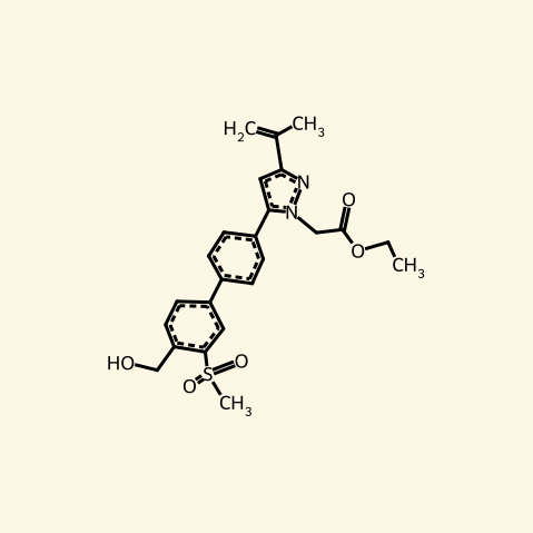 C=C(C)c1cc(-c2ccc(-c3ccc(CO)c(S(C)(=O)=O)c3)cc2)n(CC(=O)OCC)n1